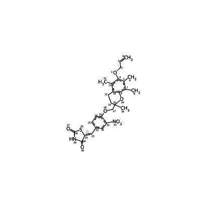 C=CCOc1c(C)c(C)c2c(c1C)CCC(C)(COc1ccc(/C=C3\SC(=O)NC3=O)cc1[N+](=O)[O-])O2